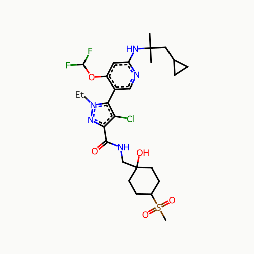 CCn1nc(C(=O)NCC2(O)CCC(S(C)(=O)=O)CC2)c(Cl)c1-c1cnc(NC(C)(C)CC2CC2)cc1OC(F)F